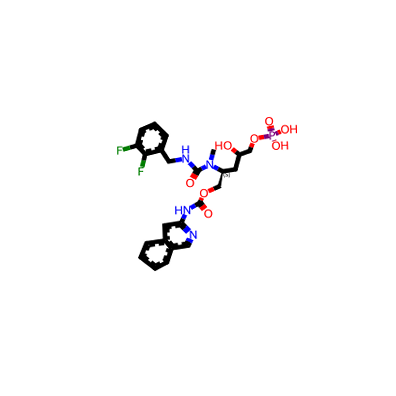 CN(C(=O)NCc1cccc(F)c1F)[C@H](COC(=O)Nc1cc2ccccc2cn1)CC(O)COP(=O)(O)O